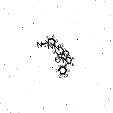 N#Cc1cccc(N2CCC3(CC2)OC2CCC(c4ccccc4)N2C3=O)n1